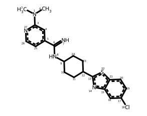 CN(C)c1cc(C(=N)NC2CCC(c3nc4cc(Cl)ccc4s3)CC2)ccn1